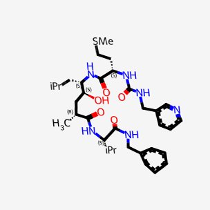 CSCC[C@H](NC(=O)NCc1cccnc1)C(=O)N[C@@H](CC(C)C)[C@@H](O)C[C@@H](C)C(=O)N[C@H](C(=O)NCc1ccccc1)C(C)C